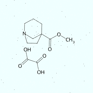 COC(=O)C12CCCN(CC1)C2.O=C(O)C(=O)O